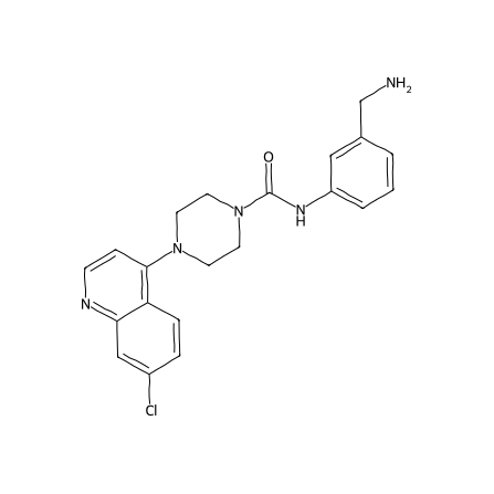 NCc1cccc(NC(=O)N2CCN(c3ccnc4cc(Cl)ccc34)CC2)c1